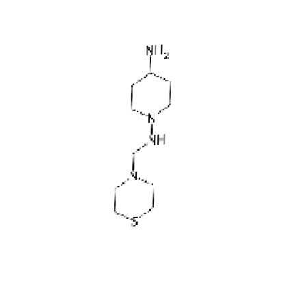 NC1CCN(NCN2CCSCC2)CC1